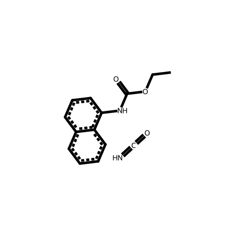 CCOC(=O)Nc1cccc2ccccc12.N=C=O